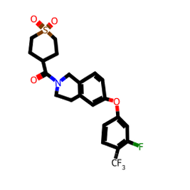 O=C(C1CCS(=O)(=O)CC1)N1CCc2cc(Oc3ccc(C(F)(F)F)c(F)c3)ccc2C1